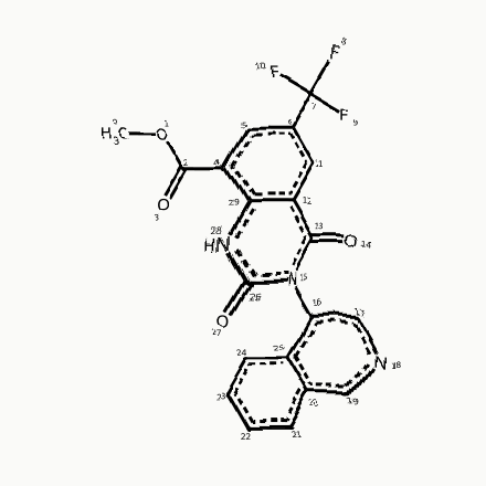 COC(=O)c1cc(C(F)(F)F)cc2c(=O)n(-c3cncc4ccccc34)c(=O)[nH]c12